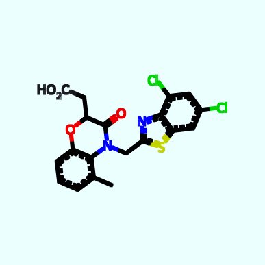 Cc1cccc2c1N(Cc1nc3c(Cl)cc(Cl)cc3s1)C(=O)C(CC(=O)O)O2